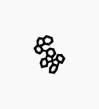 c1ccc2c(c1)-c1ccccc1C21c2ccccc2-c2c(-c3cccc4ccc5cccnc5c34)cccc21